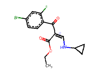 CCOC(=O)/C(=C\NC1CC1)C(=O)c1ccc(Br)cc1F